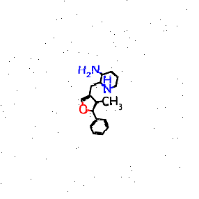 CC1C(CC2NCCCC2N)=COC1c1ccccc1